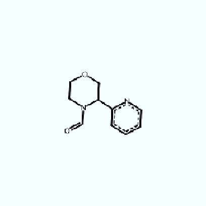 O=CN1CCOCC1c1ccccn1